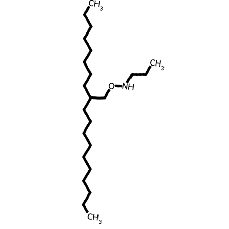 CCCCCCCCCCC(CCCCCCCC)CONCCC